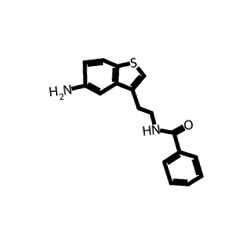 Nc1ccc2scc(CCNC(=O)c3ccccc3)c2c1